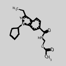 CCc1nn(C2CCCC2)c2cc(C(=O)NCOC(C)=O)ccc12